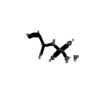 C=CC(F)OS(=O)(=O)[O-].[Li+]